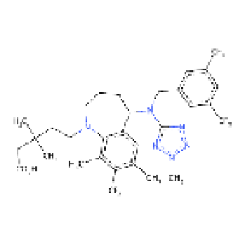 Cc1cc2c(c(C)c1C(F)(F)F)N(CCC(C)(C)CC(=O)O)CCCC2N(Cc1cc(C(F)(F)F)cc(C(F)(F)F)c1)c1nnn(C)n1